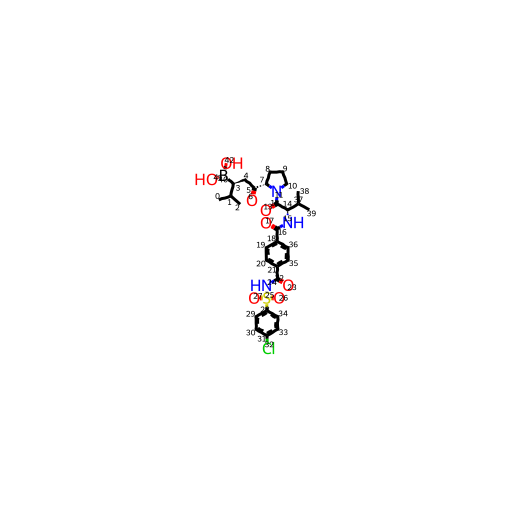 CC(C)[C@H](CC(=O)[C@@H]1CCCN1C(=O)[C@@H](NC(=O)c1ccc(C(=O)NS(=O)(=O)c2ccc(Cl)cc2)cc1)C(C)C)B(O)O